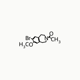 COc1cc2c(cc1Br)CCN(C(C)=O)CC2